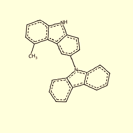 Cc1cccc2[nH]c3ccc(-n4c5ccccc5c5ccccc54)cc3c12